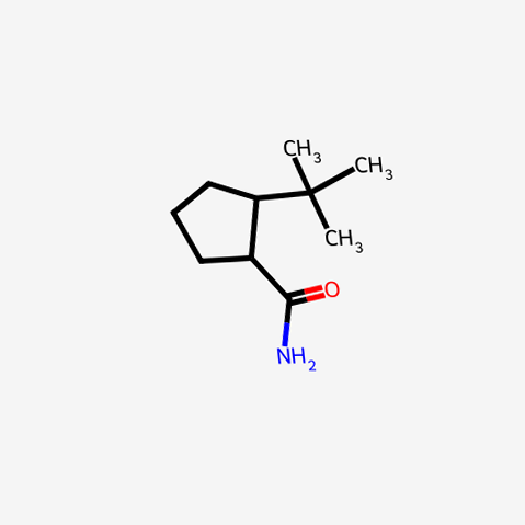 CC(C)(C)C1CCCC1C(N)=O